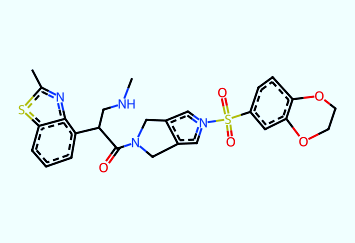 CNCC(C(=O)N1Cc2cn(S(=O)(=O)c3ccc4c(c3)OCCO4)cc2C1)c1cccc2sc(C)nc12